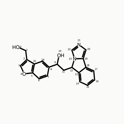 OCc1coc2ccc(C(O)CC3c4ccccc4-c4cncn43)cc12